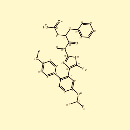 COc1ccc(-c2ccc(OC(F)F)cc2-c2nc(N(C)C(=O)C(CC(=O)O)Cc3ccccc3)sc2F)cn1